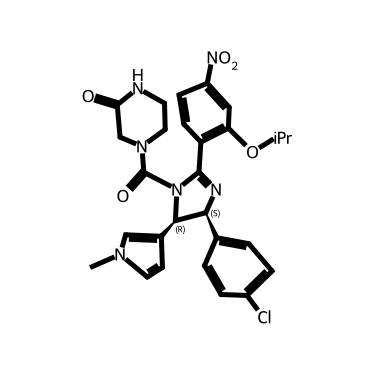 CC(C)Oc1cc([N+](=O)[O-])ccc1C1=N[C@@H](c2ccc(Cl)cc2)[C@@H](c2ccn(C)c2)N1C(=O)N1CCNC(=O)C1